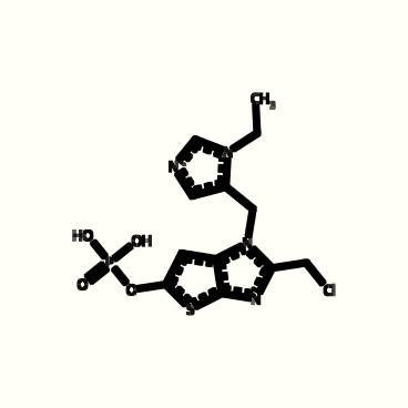 CCn1cncc1Cn1c(CCl)nc2sc(OP(=O)(O)O)cc21